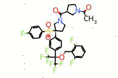 CC(=O)N1CCC(C(=O)N2CC[C@](c3ccc(C(OCc4c(F)cccc4F)(C(F)(F)F)C(F)(F)F)cc3)(S(=O)(=O)c3ccc(F)cc3)C2)C1